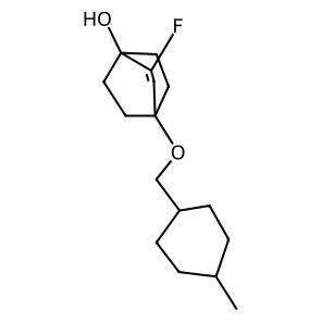 CC1CCC(COC23C=C(F)C(O)(CC2)CC3)CC1